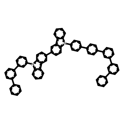 c1ccc(-c2cccc(-c3cccc(-c4ccc(-c5ccc(-n6c7ccccc7c7cc(-c8ccc9c(c8)c8ccccc8n9-c8cccc(-c9cccc(-c%10ccccc%10)c9)c8)ccc76)cc5)cc4)c3)c2)cc1